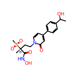 CC(O)c1ccc(-c2ccn(CC[C@](C)(C(=O)NO)S(C)(=O)=O)c(=O)c2)cc1